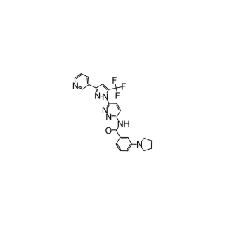 O=C(Nc1ccc(-n2nc(-c3cccnc3)cc2C(F)(F)F)nn1)c1cccc(N2CCCC2)c1